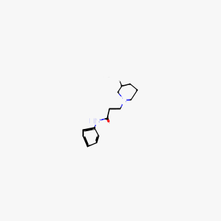 O=CC1CCCN(CCC(=O)Nc2ccccc2)C1